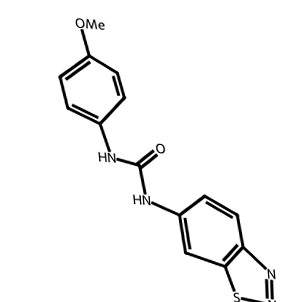 COc1ccc(NC(=O)Nc2ccc3nnsc3c2)cc1